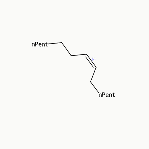 [CH2]CCCCCC/C=C\CCCCCC